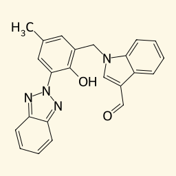 Cc1cc(Cn2cc(C=O)c3ccccc32)c(O)c(-n2nc3ccccc3n2)c1